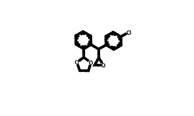 Clc1ccc(C(c2ccccc2C2OCCO2)C2CO2)cc1